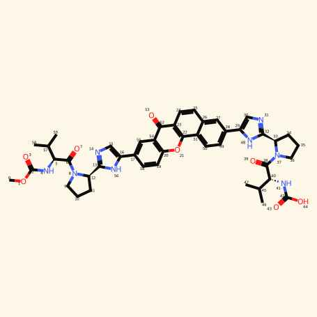 COC(=O)N[C@H](C(=O)N1CCC[C@@H]1c1ncc(-c2ccc3oc4c(ccc5cc(-c6cnc([C@H]7CCCN7C(=O)[C@H](NC(=O)O)C(C)C)[nH]6)ccc54)c(=O)c3c2)[nH]1)C(C)C